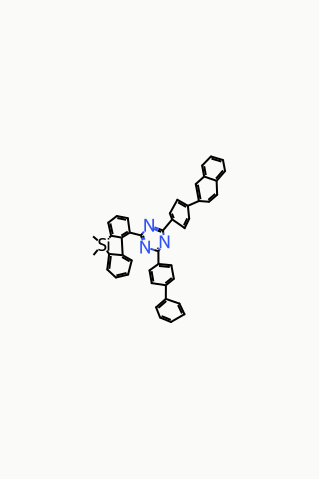 C[Si]1(C)c2ccccc2-c2c(-c3nc(-c4ccc(-c5ccccc5)cc4)nc(-c4ccc(-c5ccc6ccccc6c5)cc4)n3)cccc21